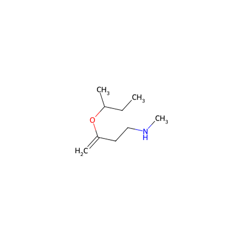 C=C(CCNC)OC(C)CC